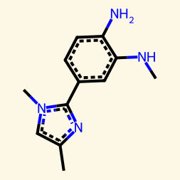 CNc1cc(-c2nc(C)cn2C)ccc1N